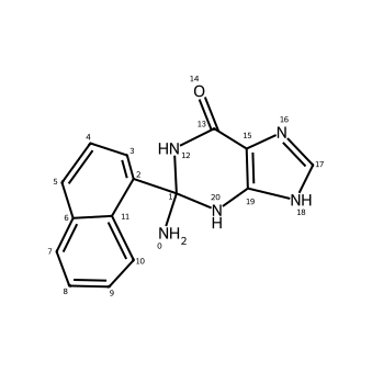 NC1(c2cccc3ccccc23)NC(=O)c2nc[nH]c2N1